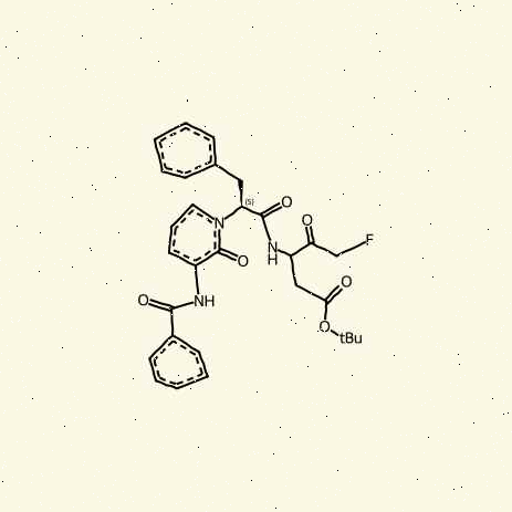 CC(C)(C)OC(=O)CC(NC(=O)[C@H](Cc1ccccc1)n1cccc(NC(=O)c2ccccc2)c1=O)C(=O)CF